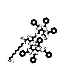 C=CCCCCCCCCOC(O)C(OC(C)=O)C(OC(O)C(OC(=O)c1ccccc1)C(OC(=O)c1ccccc1)C(CCOC(=O)c1ccccc1)OC(=O)c1ccccc1)C(CCOC(O)C(OC(=O)c1ccccc1)C(OC(=O)c1ccccc1)C(CCO)OC(=O)c1ccccc1)OC(C)=O